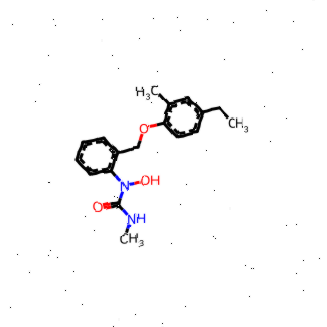 CCc1ccc(OCc2ccccc2N(O)C(=O)NC)c(C)c1